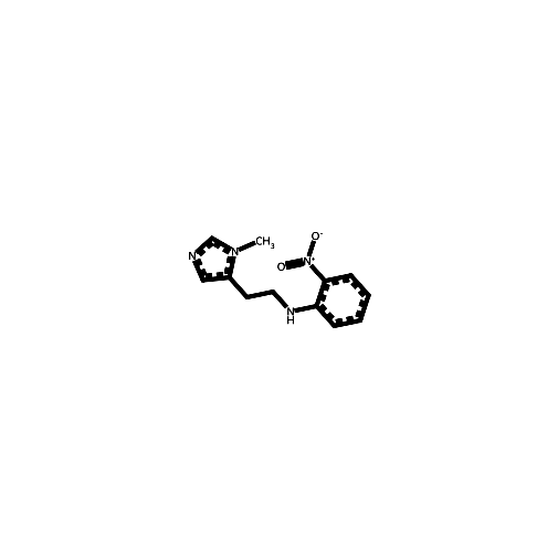 Cn1cncc1CCNc1ccccc1[N+](=O)[O-]